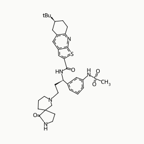 CC(C)(C)[C@H]1CCc2nc3sc(C(=O)N[C@H](CCN4CCCC5(CCNC5=O)C4)c4cccc(NS(C)(=O)=O)c4)cc3cc2C1